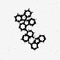 Cc1cccc2c3ccccc3n(-c3ccc(-c4cccc5c4-c4ccccc4C54c5ccccc5-c5ccccc54)c4ccccc34)c12